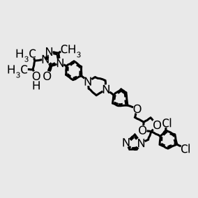 Cc1nn(C(C)C(C)O)c(=O)n1-c1ccc(N2CCN(c3ccc(OCC4COC(Cn5ccnc5)(c5ccc(Cl)cc5Cl)O4)cc3)CC2)cc1